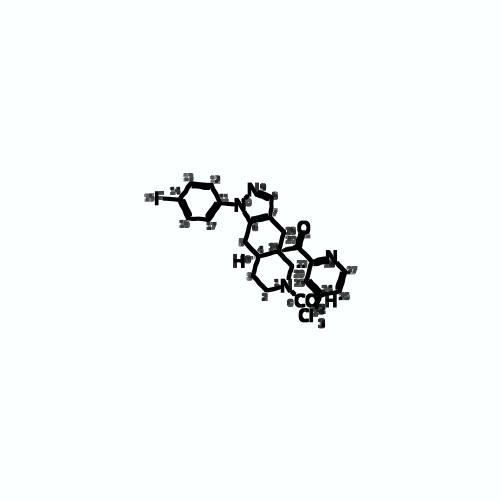 O=C(O)N1CC[C@H]2Cc3c(cnn3-c3ccc(F)cc3)C[C@]2(C(=O)c2cc(C(F)(F)F)ccn2)C1